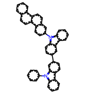 c1ccc(-n2c3ccccc3c3ccc(-c4ccc5c(c4)c4ccccc4n5-c4ccc5c(ccc6c7ccccc7ccc56)c4)cc32)cc1